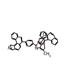 C\C1=C(c2ccc3oc4ccc5ccccc5c4c3c2)/N=C(c2ccc(-c3cc4ccccc4c4c5c(ccc34)C=[N+]=C5)cc2)\N=C(\c2ccccc2)CC1